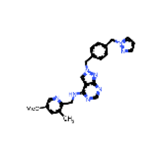 COc1cnc(CNc2ncnc3nn(Cc4ccc(Cn5cccn5)cc4)cc23)c(C)c1